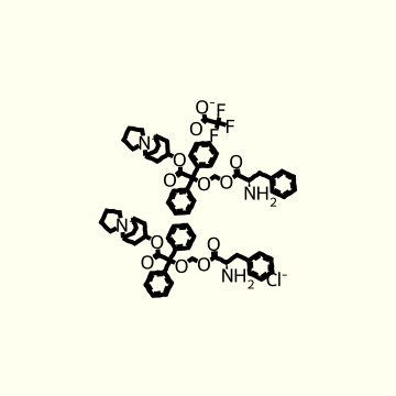 N[C@@H](Cc1ccccc1)C(=O)OCOC(C(=O)OC1CC2CCC(C1)[N+]21CCCC1)(c1ccccc1)c1ccccc1.N[C@@H](Cc1ccccc1)C(=O)OCOC(C(=O)OC1CC2CCC(C1)[N+]21CCCC1)(c1ccccc1)c1ccccc1.O=C([O-])C(F)(F)F.[Cl-]